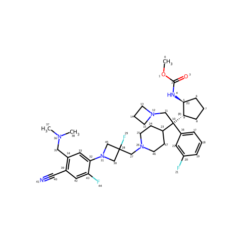 COC(=O)N[C@H]1CCC[C@@H]1C(CN1CCC1)(c1cccc(F)c1)C1CCN(CC2(F)CN(c3cc(CN(C)C)c(C#N)cc3F)C2)CC1